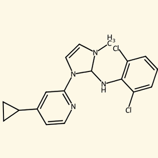 CN1C=CN(c2cc(C3CC3)ccn2)C1Nc1c(Cl)cccc1Cl